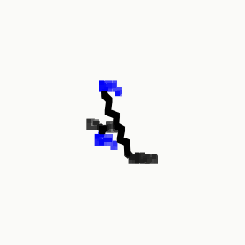 CCC(N)CC.CCCCCCCCCCCCCCCCCCN